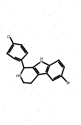 Clc1ccc(C2NCCc3c2[nH]c2ccc(Br)cc32)cc1